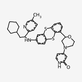 Cc1ccc(C(CC2CCCCC2)Nc2ccc3c(c2)Sc2cccc(C4CN(c5cc[nH]c(=O)c5)CCO4)c2S3)nc1